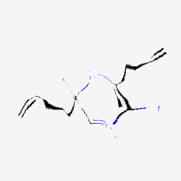 C=CCC1=C(N)N=CC(Br)(CC=C)N1